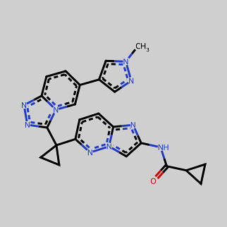 Cn1cc(-c2ccc3nnc(C4(c5ccc6nc(NC(=O)C7CC7)cn6n5)CC4)n3c2)cn1